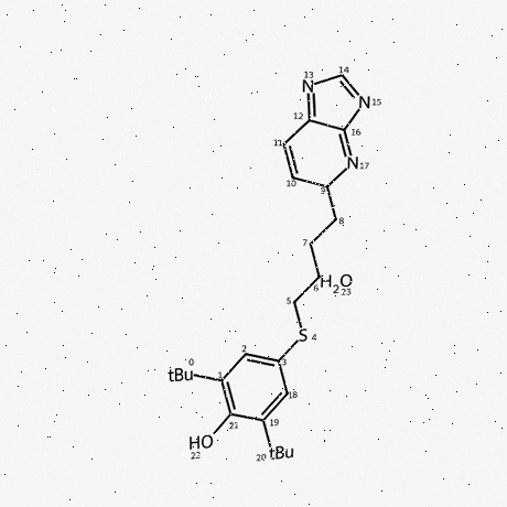 CC(C)(C)c1cc(SCCCCC2C=CC3=NC=NC3=N2)cc(C(C)(C)C)c1O.O